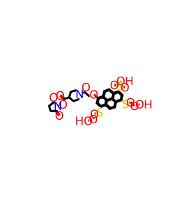 O=C(ON1C(=O)CCC1=O)C1CCN(C(=O)COc2cc(SOOO)c3ccc4c(SOOO)cc(S(=O)(=O)O)c5ccc2c3c45)CC1